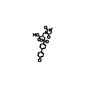 CN1CC(=O)N(CC(CS(=O)(=O)c2ccc(-c3ccc(Cl)cc3)cc2)C(=O)O)C1=O